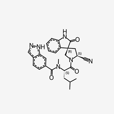 CC(C)C[C@@H](C(=O)N1C[C@]2(C[C@H]1C#N)C(=O)Nc1ccccc12)N(C)C(=O)c1ccc2cn[nH]c2c1